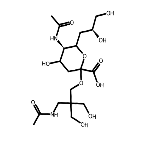 CC(=O)NCC(CO)(CO)COC1(C(=O)O)CC(O)[C@@H](NC(C)=O)C(C[C@H](O)CO)O1